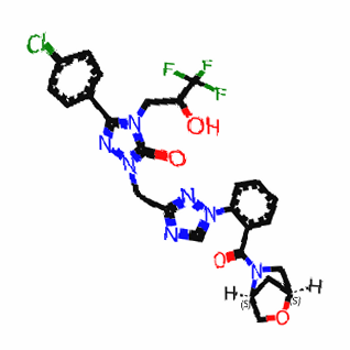 O=C(c1ccccc1-n1cnc(Cn2nc(-c3ccc(Cl)cc3)n(CC(O)C(F)(F)F)c2=O)n1)N1C[C@@H]2C[C@H]1CO2